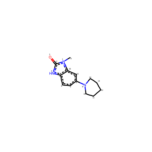 Cn1c(=O)[nH]c2ccc(N3CCCCC3)cc21